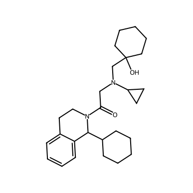 O=C(CN(CC1(O)CCCCC1)C1CC1)N1CCc2ccccc2C1C1CCCCC1